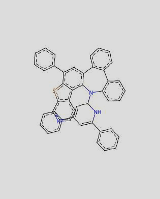 C1=C(c2ccccc2)C=C(c2ccccc2)NC1N1c2ccccc2-c2ccccc2-c2cc(-c3ccccc3)c3sc4cnccc4c3c21